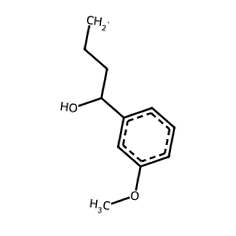 [CH2]CCC(O)c1cccc(OC)c1